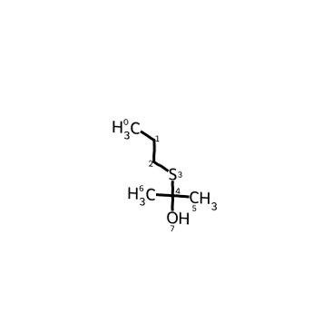 CCCSC(C)(C)O